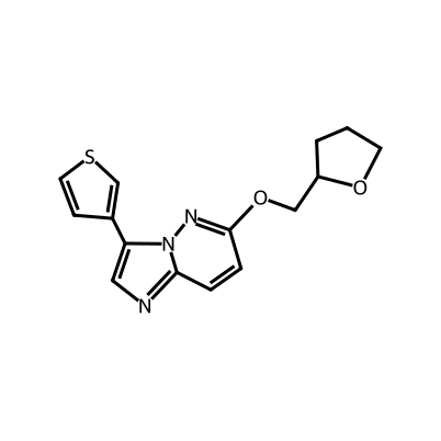 c1cc(-c2cnc3ccc(OCC4CCCO4)nn23)cs1